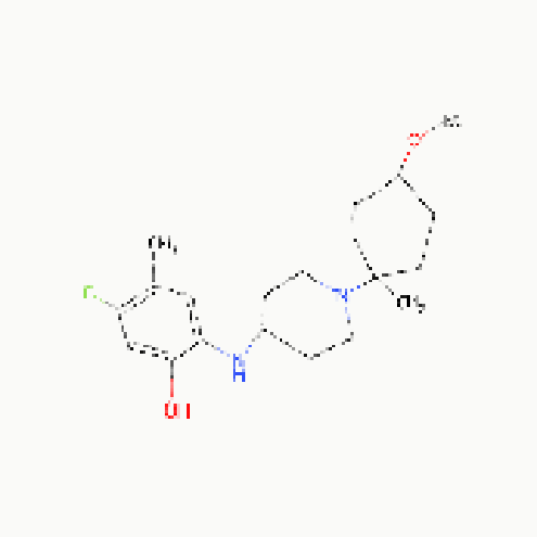 CCOC1CCC(C)(N2CCC(Nc3cc(C)c(F)cc3O)CC2)CC1